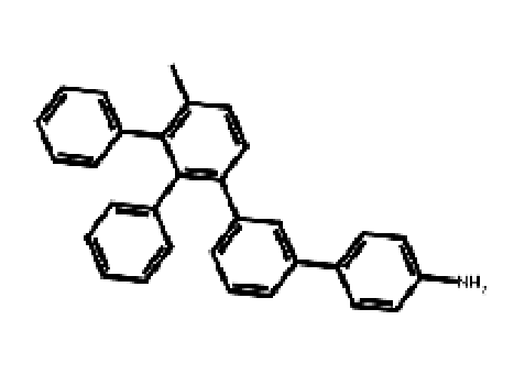 Cc1ccc(-c2cccc(-c3ccc(N)cc3)c2)c(-c2ccccc2)c1-c1ccccc1